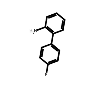 Nc1ccc[c]c1-c1ccc(F)cc1